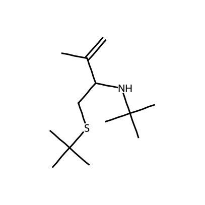 C=C(C)C(CSC(C)(C)C)NC(C)(C)C